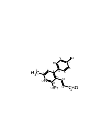 Cc1cc(-c2ccc(F)cc2)c(C=CC=O)c(C(C)C)n1